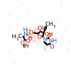 BC(B)(O[PH](=O)N[C@@H](C)C(=O)OC(C)C)C1O[C@@H](n2cc(F)c(=O)[nH]c2=O)C(O)(C#CC)[C@H]1O